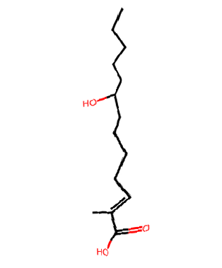 CCCCCC(O)CCCC/C=C(\C)C(=O)O